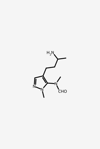 CC(N)CCc1cnn(C)c1N(C)C=O